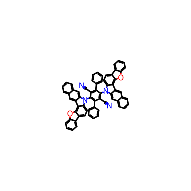 N#Cc1c(-c2ccccc2)c(-n2c3cc4ccccc4cc3c3c4oc5ccccc5c4ccc32)c(C#N)c(-c2ccccc2)c1-n1c2cc3ccccc3cc2c2c3oc4ccccc4c3ccc21